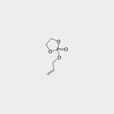 C=CCOP1(=O)OCCO1